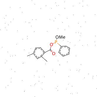 COP(OC(=O)c1ccc(C)cc1C)c1ccccc1